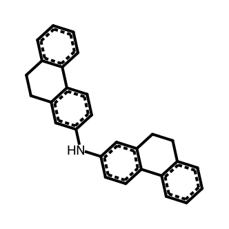 c1ccc2c(c1)CCc1cc(Nc3ccc4c(c3)CCc3ccccc3-4)ccc1-2